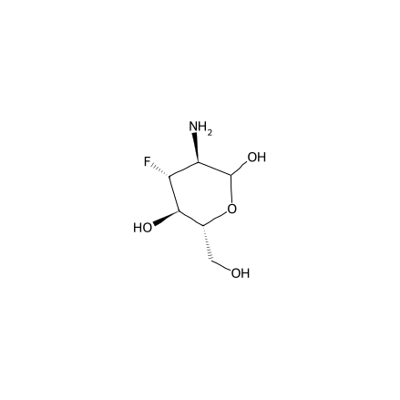 N[C@H]1C(O)O[C@H](CO)[C@@H](O)[C@@H]1F